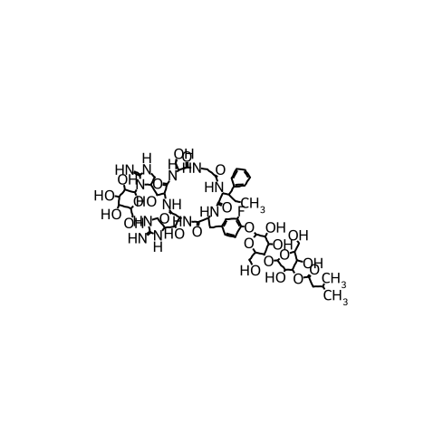 CCC(c1ccccc1)C1NC(=O)CNC(=O)C(CO)NC(=O)C(C(O)C2CNC(=N)N2C2OC(CO)C(O)C(O)C2O)NC(=O)C(C(O)C2CNC(=N)N2)NC(=O)C(Cc2ccc(OC3OC(CO)C(OC4OC(CO)C(O)C(OC(=O)CC(C)C)C4O)C(O)C3O)c(F)c2)NC1=O